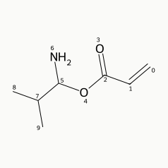 C=CC(=O)OC(N)C(C)C